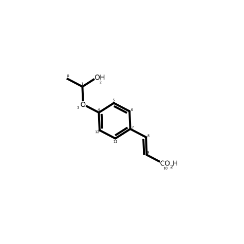 CC(O)Oc1ccc(/C=C/C(=O)O)cc1